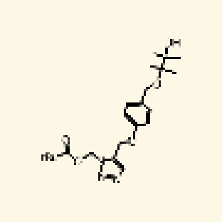 CC(C)(C)C(=O)OCn1nncc1COc1ccc(COC(C)(C)C(C)(C)O)cc1